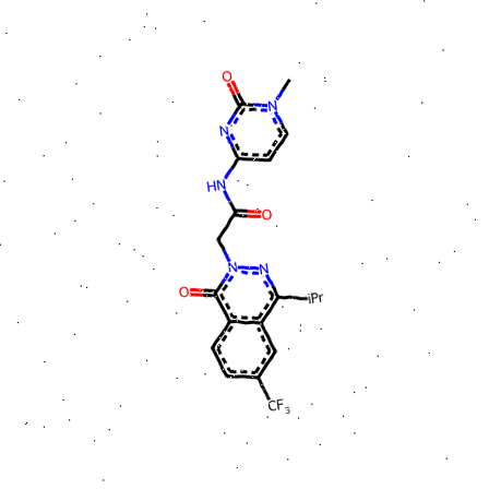 CC(C)c1nn(CC(=O)Nc2ccn(C)c(=O)n2)c(=O)c2ccc(C(F)(F)F)cc12